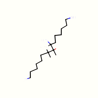 CCCCCCC(N)(CCCCCCN)C(C)(O)C(C)(C)CCCCCCN